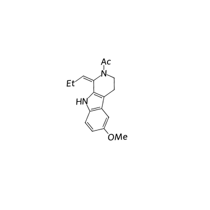 CC/C=C1\c2[nH]c3ccc(OC)cc3c2CCN1C(C)=O